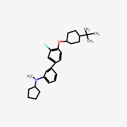 CN(c1cccc(-c2ccc(OC3CCC(C(C)(C)C)CC3)c(F)c2)c1)C1CCCC1